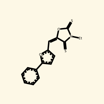 CCN1C(=S)O/C(=C/c2ccc(-c3ccccc3)o2)C1=S